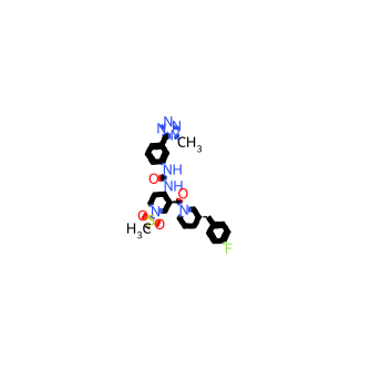 Cn1nnnc1-c1cccc(NC(=O)N[C@@H]2CCN(S(C)(=O)=O)C[C@@H]2C(=O)N2CCC[C@@H](Cc3ccc(F)cc3)C2)c1